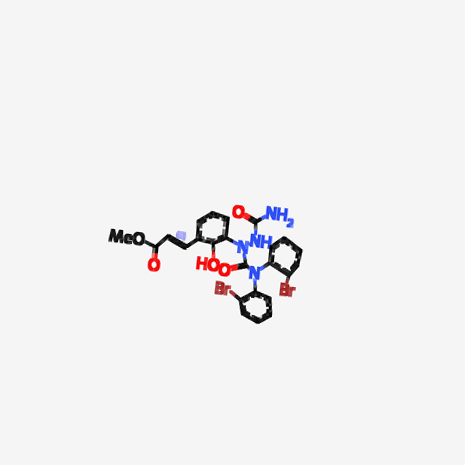 COC(=O)/C=C/c1cccc(N(NC(N)=O)C(=O)N(c2ccccc2Br)c2ccccc2Br)c1O